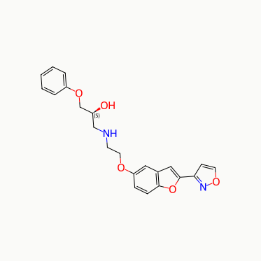 O[C@@H](CNCCOc1ccc2oc(-c3ccon3)cc2c1)COc1ccccc1